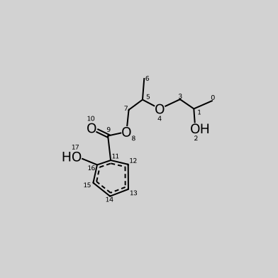 CC(O)COC(C)COC(=O)c1ccccc1O